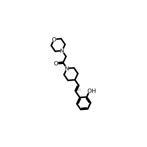 O=C(CN1CCOCC1)N1CCC(/C=C/c2ccccc2O)CC1